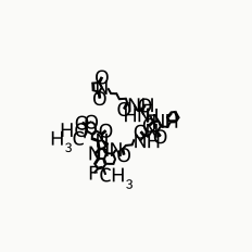 CC[C@@]1(O)C(=O)OCc2c1cc1n(c2=O)Cc2c-1nc1cc(F)c(C)c3c1c2C(NC(=O)CCCNC(=O)CNC(=O)C(Cc1ccccc1)NC(=O)CNC(=O)CNC(=O)CCCCCN1C(=O)C=CC1=O)CC3